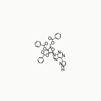 O=C(OC[C@H]1O[C@@H](n2cnc3c(-c4cc[nH]n4)ncnc32)[C@H](OC(=O)c2ccccc2)[C@@H]1OC(=O)c1ccccc1)c1ccccc1